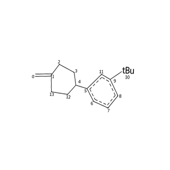 C=C1CCC(c2cccc(C(C)(C)C)c2)CC1